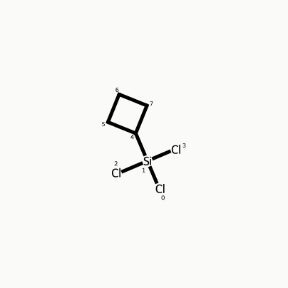 Cl[Si](Cl)(Cl)C1CCC1